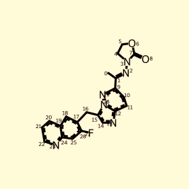 C/C(=N\N1CCOC1=O)c1ccc2ncc(Cc3cc4cccnc4cc3F)n2n1